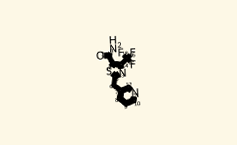 NC(=O)c1sc(Cc2cccnc2)nc1C(F)(F)F